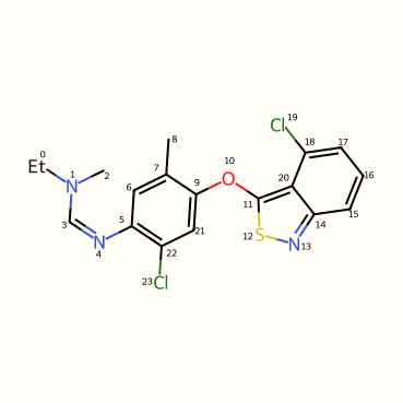 CCN(C)/C=N\c1cc(C)c(Oc2snc3cccc(Cl)c23)cc1Cl